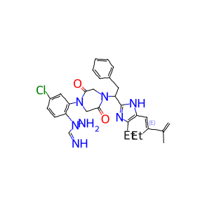 C=C(C)/C(=C/c1[nH]c(C(Cc2ccccc2)N2CC(=O)N(c3cc(Cl)ccc3N(N)C=N)CC2=O)nc1CC)CC